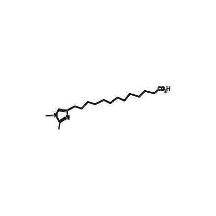 Cc1nc(CCCCCCCCCCCCC(=O)O)cn1C